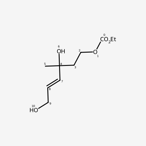 CCOC(=O)OCCC(C)(O)/C=C/CO